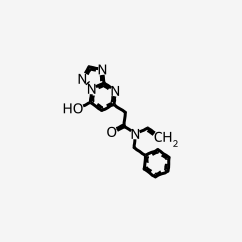 C=CN(Cc1ccccc1)C(=O)Cc1cc(O)n2ncnc2n1